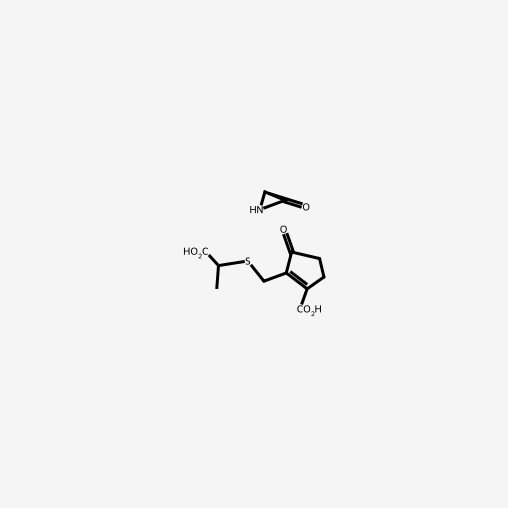 CC(SCC1=C(C(=O)O)CCC1=O)C(=O)O.O=C1CN1